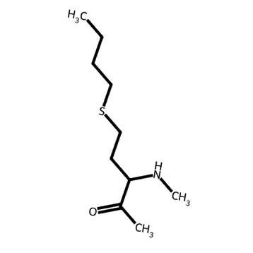 CCCCSCCC(NC)C(C)=O